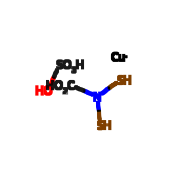 O=C(O)N(S)S.O=S(=O)(O)O.[Cu]